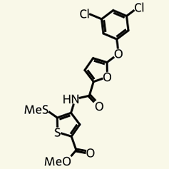 COC(=O)c1cc(NC(=O)c2ccc(Oc3cc(Cl)cc(Cl)c3)o2)c(SC)s1